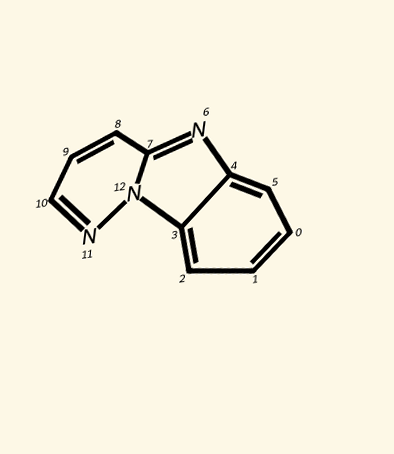 c1ccc2c(c1)nc1cccnn12